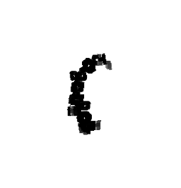 Cc1ccc(COC(=O)N2CCN(c3nc(C(=O)Nc4ccc5[nH]nnc5c4)cs3)CC2)cc1